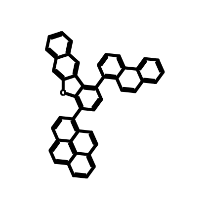 c1ccc2cc3c(cc2c1)oc1c(-c2ccc4ccc5cccc6ccc2c4c56)ccc(-c2cccc4c2ccc2ccccc24)c13